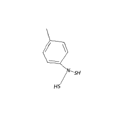 Cc1ccc(N(S)S)cc1